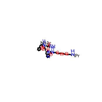 CC(=O)N[C@@H](Cc1ccccc1)C(=O)N[C@@H](CCC(=O)C=N)C(=O)CC[C@@H](Cc1ccccc1)C(=O)NCC(=O)NCCCOCCOCCOCCCNC(C)C